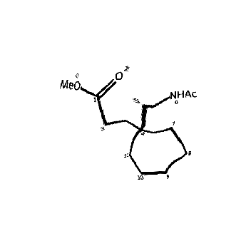 COC(=O)CC1(CNC(C)=O)CCCCC1